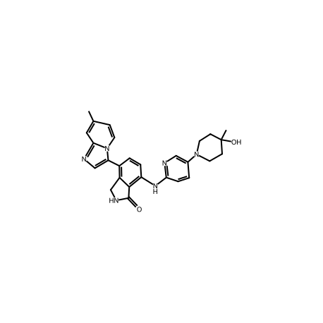 Cc1ccn2c(-c3ccc(Nc4ccc(N5CCC(C)(O)CC5)cn4)c4c3CNC4=O)cnc2c1